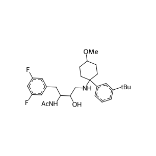 COC1CCC(NCC(O)C(Cc2cc(F)cc(F)c2)NC(C)=O)(c2cccc(C(C)(C)C)c2)CC1